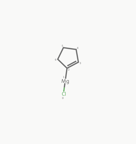 [Cl][Mg][C]1=CCCC1